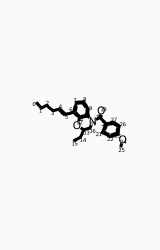 CCCC/C=C/c1cccc2c1OC(CC)CN2C(=O)c1ccc(OC)cc1